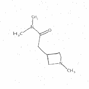 CN1CC(CC(=O)N(C)C)C1